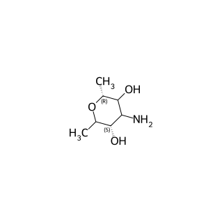 CC1O[C@H](C)C(O)C(N)[C@@H]1O